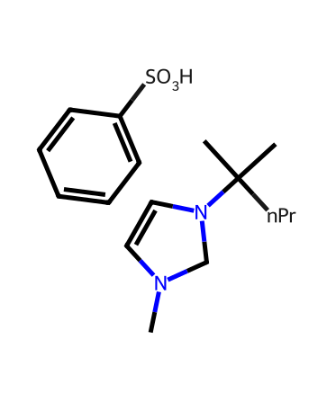 CCCC(C)(C)N1C=CN(C)C1.O=S(=O)(O)c1ccccc1